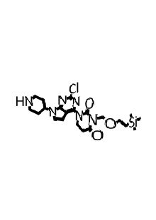 C[Si](C)(C)CCOCN1C(=O)CCN(c2nc(Cl)nc3c2ccn3C2CCNCC2)C1=O